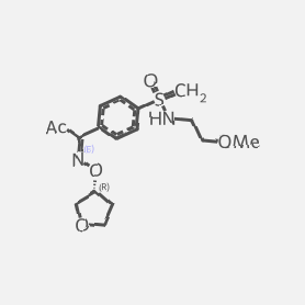 C=S(=O)(NCCOC)c1ccc(/C(=N\O[C@@H]2CCOC2)C(C)=O)cc1